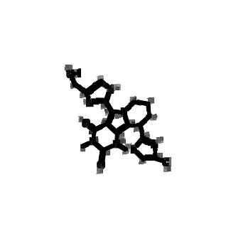 Cn1c(=O)c2c(-c3nc(CO)cs3)n3c(c2n(C)c1=O)C(c1nc(Cl)cs1)CCC3